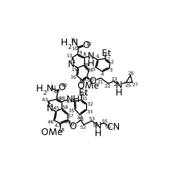 CCc1ccccc1Nc1c(C(N)=O)cnc2cc(OC)c(OCCCNC3CC3)cc12.CCc1ccccc1Nc1c(C(N)=O)cnc2cc(OC)c(OCCCNCC#N)cc12